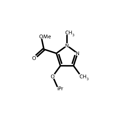 COC(=O)c1c(OC(C)C)c(C)nn1C